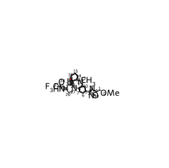 COCc1nc(-c2ccc3c(c2)N(C)c2ccccc2[C@H]2C[C@@H](NC(=O)C(F)(F)F)CCN32)no1